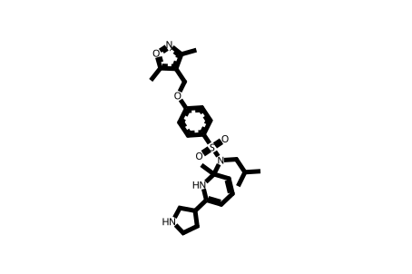 Cc1noc(C)c1COc1ccc(S(=O)(=O)N(CC(C)C)C2(C)C=CC=C(C3CCNC3)N2)cc1